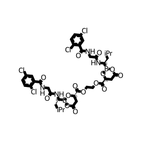 CC(C)C[C@H](NC(=O)CNC(=O)c1cc(Cl)ccc1Cl)B1OC(=O)C[C@@H](C(=O)OCCOC(=O)[C@@H]2CC(=O)OB([C@H](CC(C)C)NC(=O)CNC(=O)c3cc(Cl)ccc3Cl)O2)O1